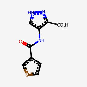 O=C(Nc1c[nH]nc1C(=O)O)c1ccsc1